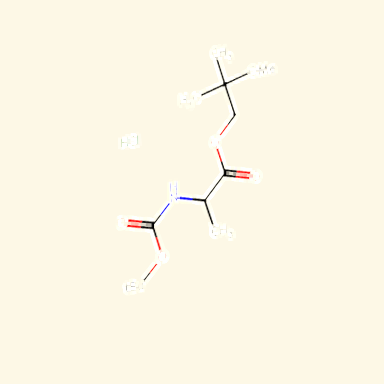 COC(C)(C)COC(=O)C(C)NC(=O)OC(C)(C)C.Cl